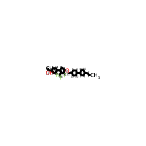 CCCC1CCC(C2CCC(COc3ccc(-c4ccc(C(C)O)cc4)c(C(F)F)c3F)CC2)CC1